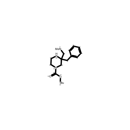 CNCC1(Cc2ccccc2)CN(C(=O)OC(C)(C)C)CCN1